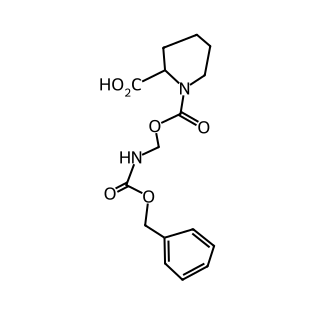 O=C(NCOC(=O)N1CCCCC1C(=O)O)OCc1ccccc1